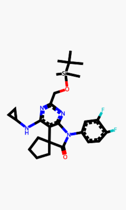 CC(C)(C)[Si](C)(C)OCc1nc(NC2CC2)c2c(n1)N(c1ccc(F)c(F)c1)C(=O)C21CCCC1